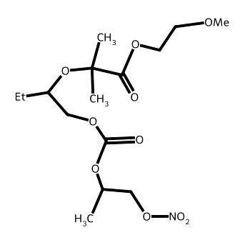 CCC(COC(=O)OC(C)CO[N+](=O)[O-])OC(C)(C)C(=O)OCCOC